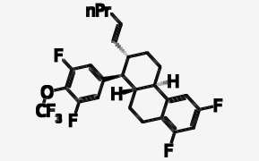 CCC/C=C/[C@@H]1CC[C@H]2c3cc(F)cc(F)c3CC[C@@H]2[C@H]1c1cc(F)c(OC(F)(F)F)c(F)c1